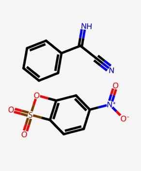 N#CC(=N)c1ccccc1.O=[N+]([O-])c1ccc2c(c1)OS2(=O)=O